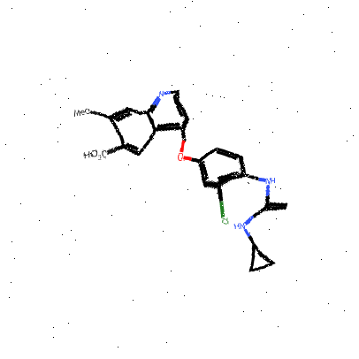 C=C(Nc1ccc(Oc2ccnc3cc(OC)c(C(=O)O)cc23)cc1Cl)NC1CC1